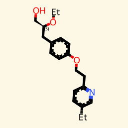 CCO[C@H](CO)Cc1ccc(OCCc2ccc(CC)cn2)cc1